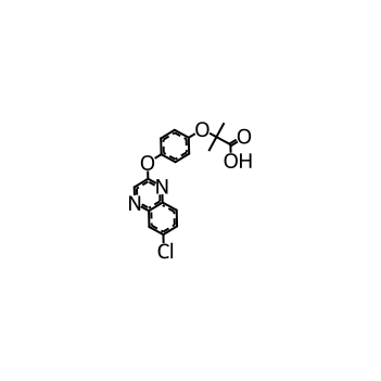 CC(C)(Oc1ccc(Oc2cnc3cc(Cl)ccc3n2)cc1)C(=O)O